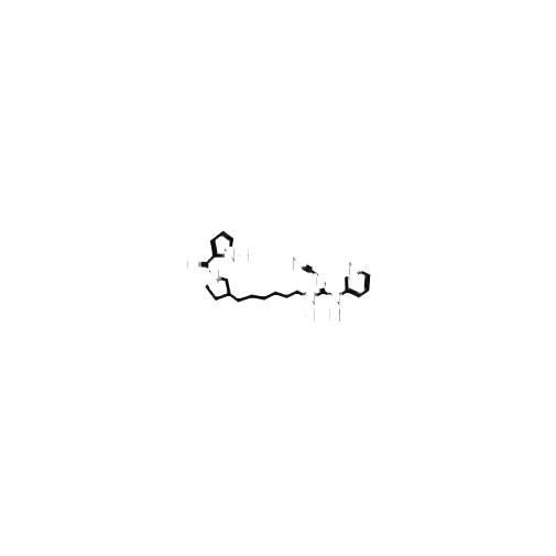 N#CN=C(NCCCCCCC1CCN(C(=O)c2ccc[nH]2)C1)Nc1cccnc1